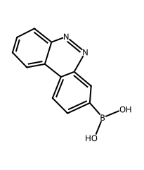 OB(O)c1ccc2c(c1)nnc1ccccc12